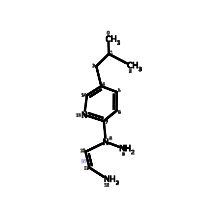 CC(C)Cc1ccc(N(N)/C=C\N)nc1